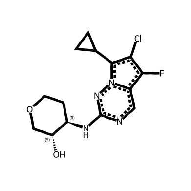 O[C@@H]1COCC[C@H]1Nc1ncc2c(F)c(Cl)c(C3CC3)n2n1